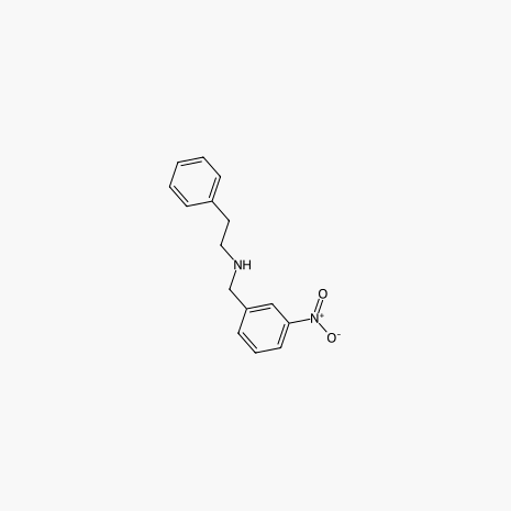 O=[N+]([O-])c1cccc(CNCCc2ccccc2)c1